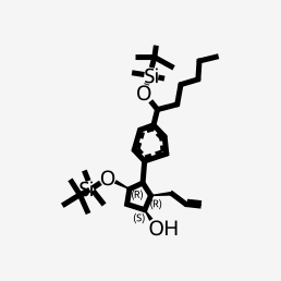 C=CC[C@@H]1C(c2ccc(C(CCCCC)O[Si](C)(C)C(C)(C)C)cc2)[C@H](O[Si](C)(C)C(C)(C)C)C[C@@H]1O